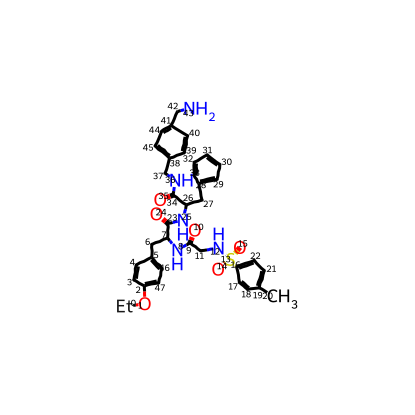 CCOc1ccc(CC(NC(=O)CNS(=O)(=O)c2ccc(C)cc2)C(=O)NC(Cc2ccccc2)C(=O)NCc2ccc(CN)cc2)cc1